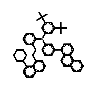 CC(C)(C)c1cc(N(c2cccc(-c3cccc4c3ccc3ccccc34)c2)c2ccccc2CCc2cccc3cccc(C4CCCCC4)c23)cc(C(C)(C)C)c1